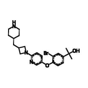 CC(C)(O)c1ccc(Oc2ccc(N3CC(CC4CCNCC4)C3)nc2)c(Br)c1